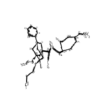 CC1(CCCCl)C2CC3(c4ccccc4)C[C@@H]1CC2(C(=S)/N=C/C1CCC(CN)CC1)C3